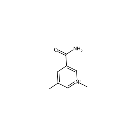 Cc1cc(C(N)=O)c[n+](C)c1